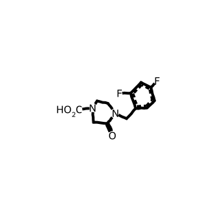 O=C(O)N1CCN(Cc2ccc(F)cc2F)C(=O)C1